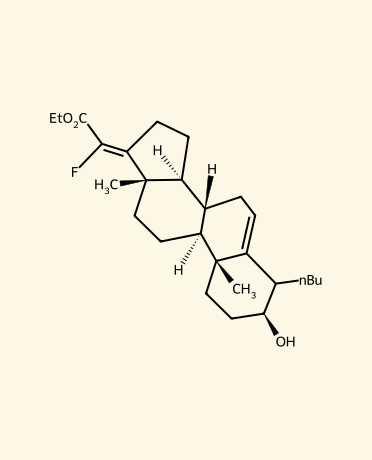 CCCCC1C2=CC[C@@H]3[C@H](CC[C@]4(C)C(=C(F)C(=O)OCC)CC[C@@H]34)[C@@]2(C)CC[C@@H]1O